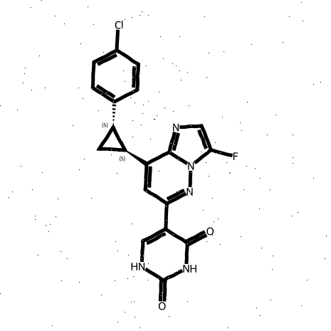 O=c1[nH]cc(-c2cc([C@H]3C[C@@H]3c3ccc(Cl)cc3)c3ncc(F)n3n2)c(=O)[nH]1